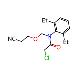 CCc1cccc(CC)c1N(COCCC#N)C(=O)CCl